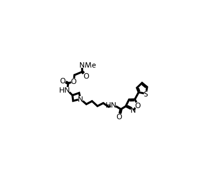 CNC(=O)COC(=O)NC1CN(CCCCCNC(=O)c2cc(-c3cccs3)on2)C1